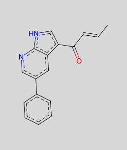 CC=CC(=O)c1c[nH]c2ncc(-c3ccccc3)cc12